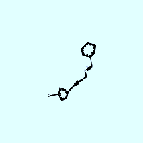 Clc1ccc(C#CC/N=C/c2ccccc2)o1